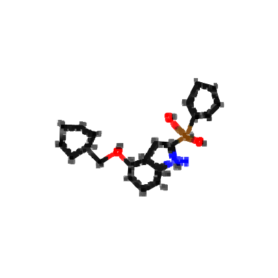 O=S(=O)(c1ccccc1)c1cc2c(OCc3ccccc3)cccc2[nH]1